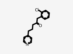 O=C(CCCc1ccncc1)Cc1ccccc1Cl